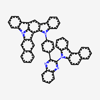 c1ccc2cc3c(cc2c1)c1c2c(cc4c5ccccc5n3c41)c1ccccc1n2-c1ccc(-c2nc3ccccc3nc2-n2c3ccccc3c3c4ccccc4ccc32)cc1